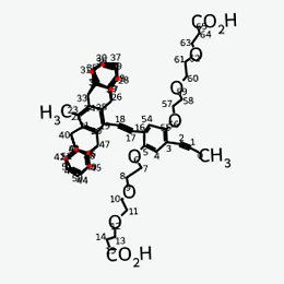 CC#Cc1cc(OCCOCCOCCC(=O)O)c(C#Cc2c3c(c(C)c4c2C2c5ccccc5C4c4ccccc42)C2c4ccccc4C3c3ccccc32)cc1OCCOCCOCCC(=O)O